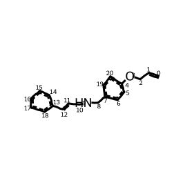 C=CCOc1ccc(CNC/C=C/c2ccccc2)cc1